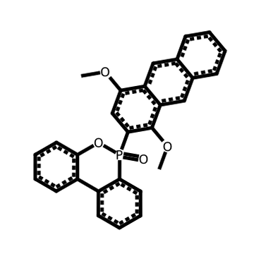 COc1cc(P2(=O)Oc3ccccc3-c3ccccc32)c(OC)c2cc3ccccc3cc12